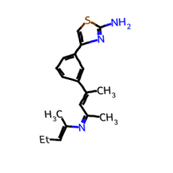 CC/C=C(C)/N=C(C)\C=C(/C)c1cccc(-c2csc(N)n2)c1